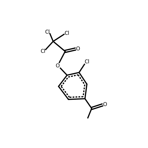 CC(=O)c1ccc(OC(=O)C(Cl)(Cl)Cl)c(Cl)c1